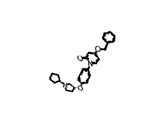 O=c1cc(OCc2ccccc2)ccn1-c1ccc(O[C@@H]2CCN(C3CCCC3)C2)cc1